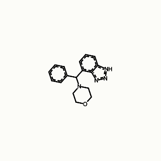 c1ccc(C(c2cccc3[nH]nnc23)N2CCOCC2)cc1